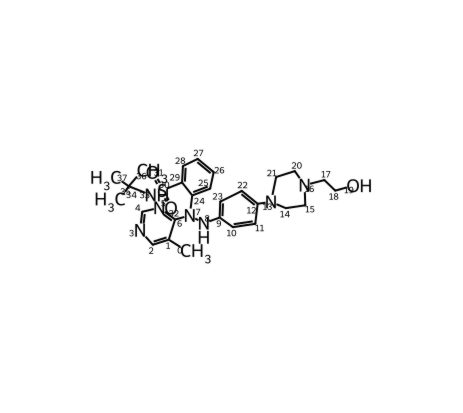 Cc1cncnc1N(Nc1ccc(N2CCN(CCO)CC2)cc1)c1ccccc1S(=O)(=O)NC(C)(C)C